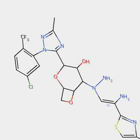 Cc1nc(C2OC3COC3C(N(N)/C=C(\N)c3nc(Cl)cs3)C2O)n(-c2cc(Cl)ccc2C(F)(F)F)n1